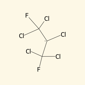 FC(Cl)(Cl)[C](Cl)C(F)(Cl)Cl